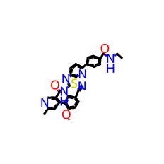 CCNC(=O)c1ccc(-c2ccc3nc(NC(=O)c4cnc(C)cc4-c4cc(C#N)ccc4OC)sc3n2)cc1